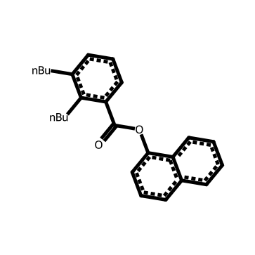 CCCCc1cccc(C(=O)Oc2cccc3ccccc23)c1CCCC